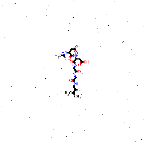 CC(C)NC(CC(=O)O)C(=O)NC(CC(=O)O)C(=O)NCC(=O)NCC(=O)NCC(=O)C(C)C